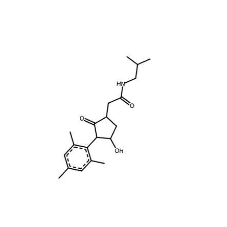 Cc1cc(C)c(C2C(=O)C(CC(=O)NCC(C)C)CC2O)c(C)c1